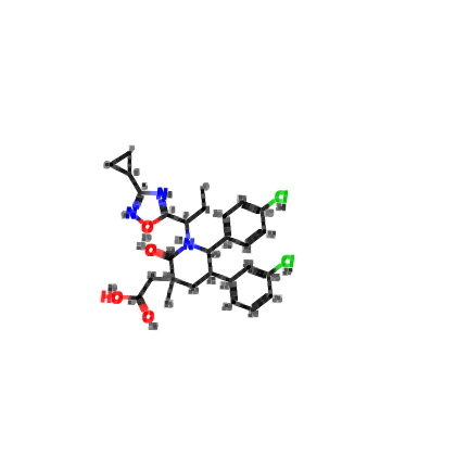 CCC(c1nc(C2CC2)no1)N1C(=O)C(C)(CC(=O)O)CC(c2cccc(Cl)c2)C1c1ccc(Cl)cc1